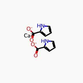 O=C([O-])c1ccc[nH]1.O=C([O-])c1ccc[nH]1.[Ca+2]